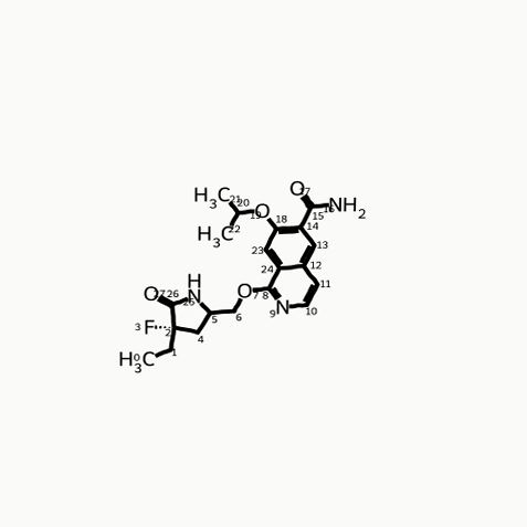 CC[C@]1(F)CC(COc2nccc3cc(C(N)=O)c(OC(C)C)cc23)NC1=O